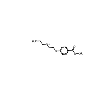 CCCNCCOc1ccc(C(=O)OC)cc1